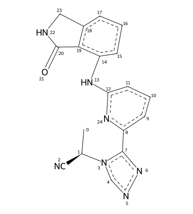 C[C@H](C#N)n1cnnc1-c1cccc(Nc2cccc3c2C(=O)NC3)n1